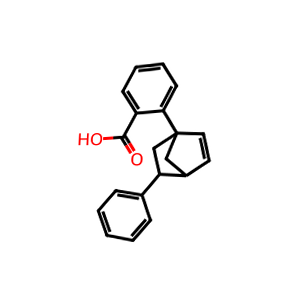 O=C(O)c1ccccc1C12C=CC(C1)C(c1ccccc1)C2